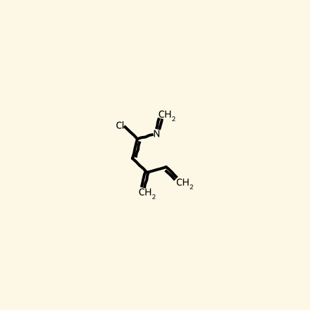 C=CC(=C)/C=C(/Cl)N=C